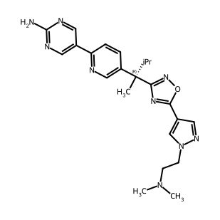 CC(C)[C@](C)(c1ccc(-c2cnc(N)nc2)nc1)c1noc(-c2cnn(CCN(C)C)c2)n1